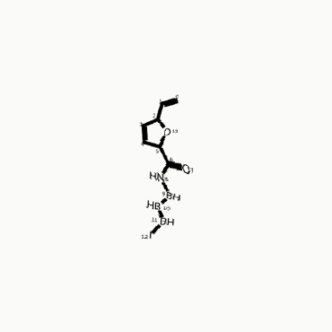 C=CC1C=CC(C(=O)NBBBI)O1